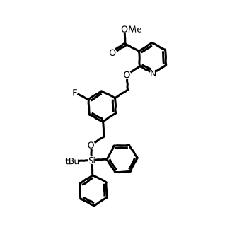 COC(=O)c1cccnc1OCc1cc(F)cc(CO[Si](c2ccccc2)(c2ccccc2)C(C)(C)C)c1